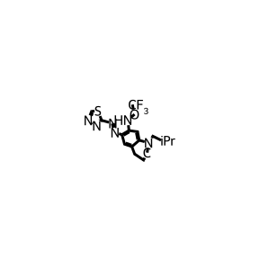 CC(C)CN1CCCc2cc(N=Nc3nncs3)c(NOC(F)(F)F)cc21